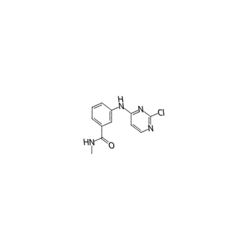 CNC(=O)c1cccc(Nc2ccnc(Cl)n2)c1